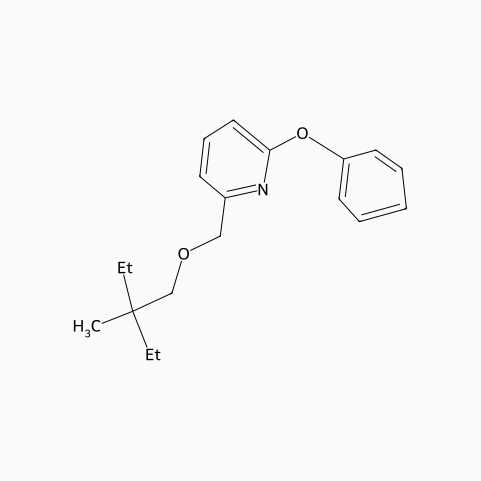 CCC(C)(CC)COCc1cccc(Oc2ccccc2)n1